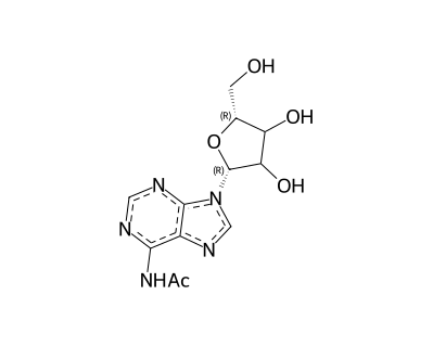 CC(=O)Nc1ncnc2c1ncn2[C@@H]1O[C@H](CO)C(O)C1O